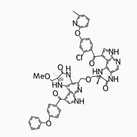 COC[C@]1(C)Nc2c(c(COC[C@]3(C)Nc4c(cnc5[nH]cc(C(=O)c6ccc(Oc7cccc(C)n7)cc6Cl)c45)NC3=O)nc3[nH]cc(C(=O)c4ccc(Oc5ccccc5)cc4)c23)NC1=O